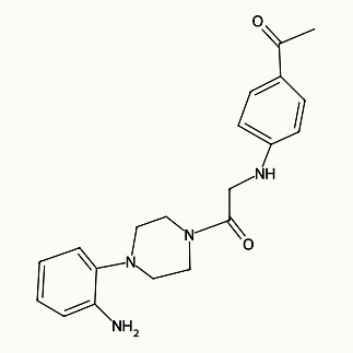 CC(=O)c1ccc(NCC(=O)N2CCN(c3ccccc3N)CC2)cc1